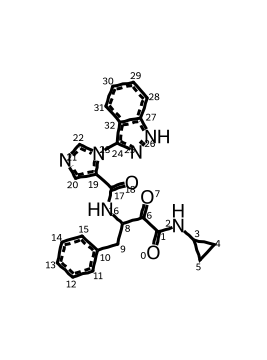 O=C(NC1CC1)C(=O)C(Cc1ccccc1)NC(=O)c1cncn1-c1n[nH]c2ccccc12